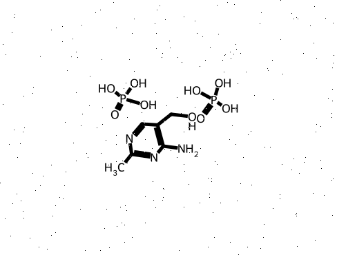 Cc1ncc(CO)c(N)n1.O=P(O)(O)O.O=P(O)(O)O